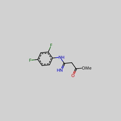 COC(=O)CC(=N)Nc1ccc(F)cc1F